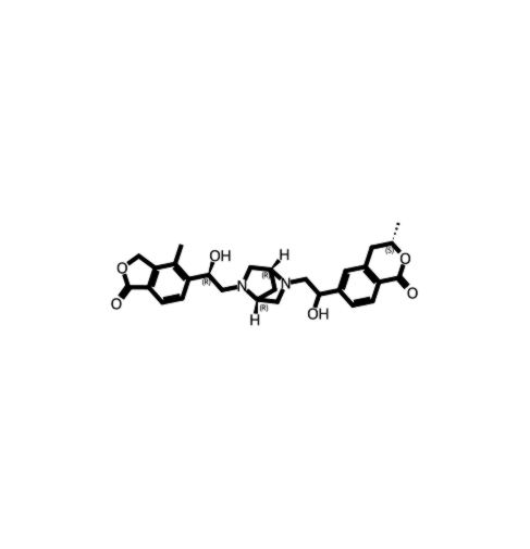 Cc1c([C@@H](O)CN2C[C@H]3C[C@@H]2CN3CC(O)c2ccc3c(c2)C[C@H](C)OC3=O)ccc2c1COC2=O